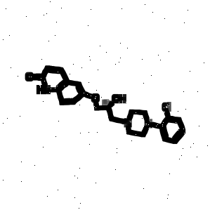 O=c1ccc2cc(OC[C@@H](O)CN3CCN(c4ccccc4Cl)CC3)ccc2[nH]1